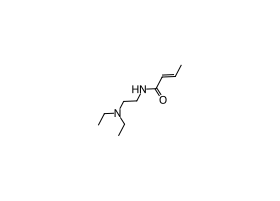 C/C=C/C(=O)NCCN(CC)CC